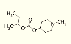 CCC(C)OC(=O)OC1CCN(C)CC1